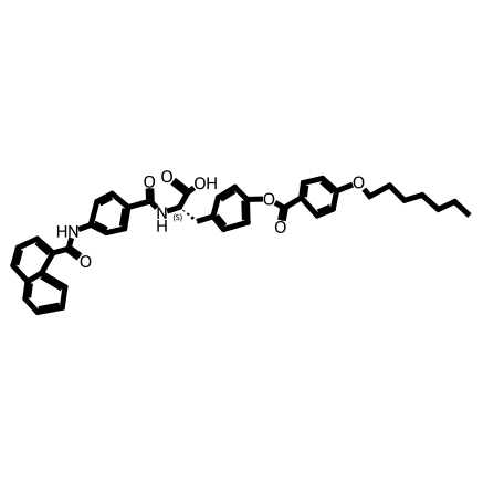 CCCCCCCOc1ccc(C(=O)Oc2ccc(C[C@H](NC(=O)c3ccc(NC(=O)c4cccc5ccccc45)cc3)C(=O)O)cc2)cc1